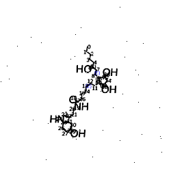 CCCCC[C@H](O)/C=C/[C@@H]1[C@@H](C/C=C\CCCC(=O)NCCc2c[nH]c3ccc(O)cc23)[C@@H](O)C[C@H]1O